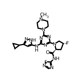 CN1CCN(c2nc(Nc3cc(C4CC4)n[nH]3)nc(N3C[C@H](F)C[C@H]3C(=O)Nc3ncns3)n2)CC1